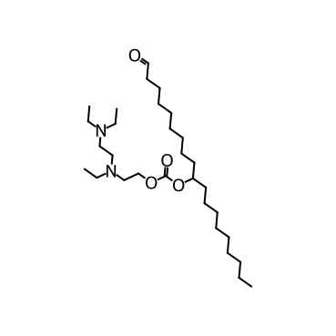 CCCCCCCCCC(CCCCCCCCC=O)OC(=O)OCCN(CC)CCN(CC)CC